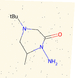 CC1CN(C(C)(C)C)CC(=O)N1N